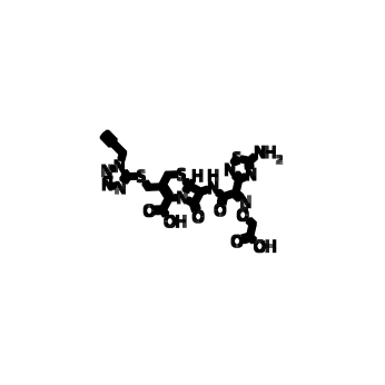 C#CCn1nnnc1SCC1=C(C(=O)O)N2C(=O)C(NC(=O)/C(=N\OCC(=O)O)c3nsc(N)n3)[C@H]2SC1